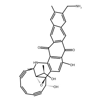 Cc1cc2cc3c(cc2cc1CN)C(=O)c1c(O)cc2c(c1C3=O)N[C@H]1C#C/C=C\C#C[C@@H](O)[C@@]23O[C@@]13[C@@H](C)O